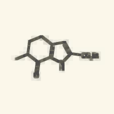 CCOC(=O)c1cc2c([nH]1)C(=O)C(C)CC2